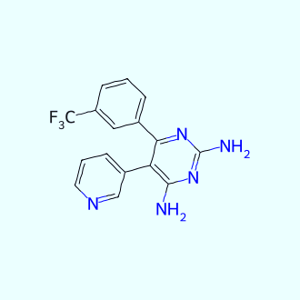 Nc1nc(N)c(-c2cccnc2)c(-c2cccc(C(F)(F)F)c2)n1